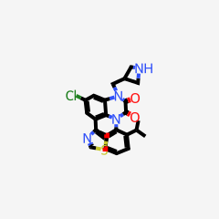 Cc1cccc(C(C)C)c1-n1c(=O)c(=O)n(CC2CNC2)c2cc(Cl)cc(-c3cscn3)c21